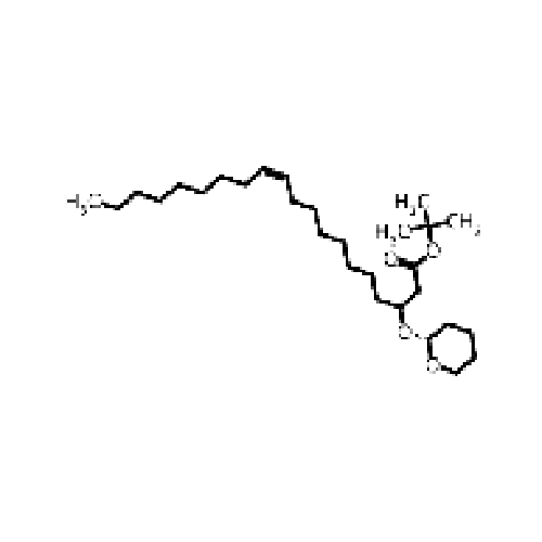 CCCCCCCC/C=C\CCCCCCCC(CC(=O)OC(C)(C)C)O[C@@H]1CCCCO1